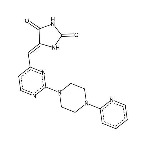 O=C1NC(=O)C(=Cc2ccnc(N3CCN(c4ccccn4)CC3)n2)N1